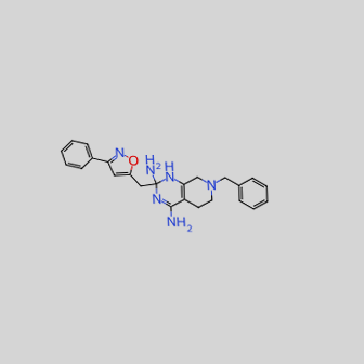 NC1=NC(N)(Cc2cc(-c3ccccc3)no2)NC2=C1CCN(Cc1ccccc1)C2